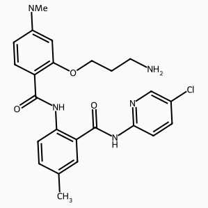 CNc1ccc(C(=O)Nc2ccc(C)cc2C(=O)Nc2ccc(Cl)cn2)c(OCCCN)c1